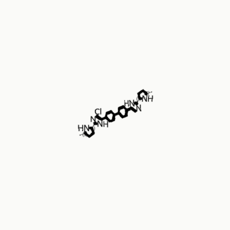 C[C@H]1CC[C@@H](c2ncc(-c3ccc(-c4ccc(-c5[nH]c([C@@H]6CC[C@H](C)N6)nc5Cl)cc4)cc3)[nH]2)N1